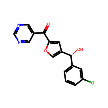 O=C(c1cncnc1)c1cc([C@H](O)c2cccc(Cl)c2)co1